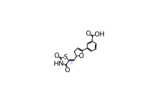 O=C1NC(=O)/C(=C/C2CC=C(c3cccc(C(=O)O)c3)O2)S1